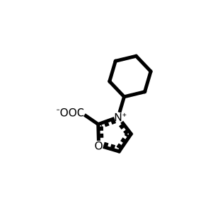 O=C([O-])c1occ[n+]1C1CCCCC1